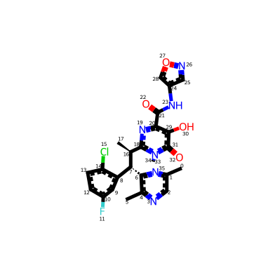 Cc1cnc(C)c([C@H](c2cc(F)ccc2Cl)[C@@H](C)c2nc(C(=O)Nc3cnoc3)c(O)c(=O)n2C)n1